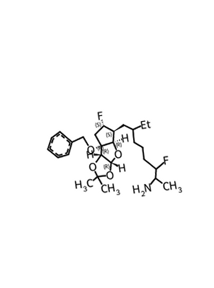 CCC(CCCC(F)C(C)N)C[C@H]1[C@H]2O[C@@H]3OC(C)(C)O[C@@H]3[C@@]2(OCc2ccccc2)C[C@@H]1F